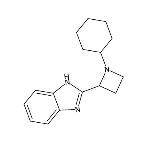 c1ccc2[nH]c(C3CCN3C3CCCCC3)nc2c1